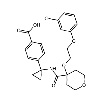 O=C(O)c1ccc(C2(NC(=O)C3(OCCOc4cccc(Cl)c4)CCOCC3)CC2)cc1